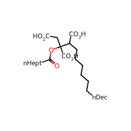 CCCCCCCCCCCCCCCCC(C(=O)O)C(CC(=O)O)(OC(=O)CCCCCCC)C(=O)O